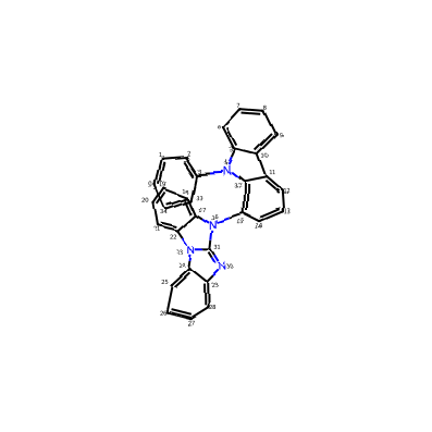 c1ccc(-n2c3ccccc3c3cccc(-n4c5ccccc5n5c6ccccc6nc45)c32)cc1